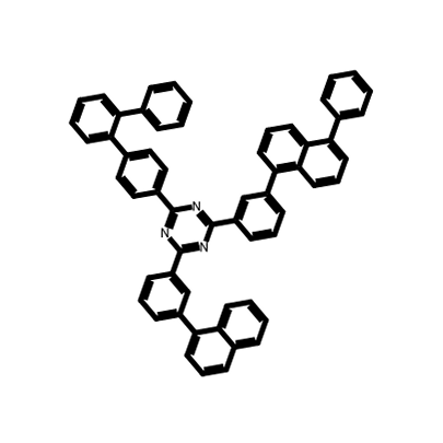 c1ccc(-c2ccccc2-c2ccc(-c3nc(-c4cccc(-c5cccc6ccccc56)c4)nc(-c4cccc(-c5cccc6c(-c7ccccc7)cccc56)c4)n3)cc2)cc1